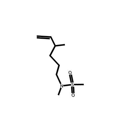 C=CC(C)CCCN(C)S(C)(=O)=O